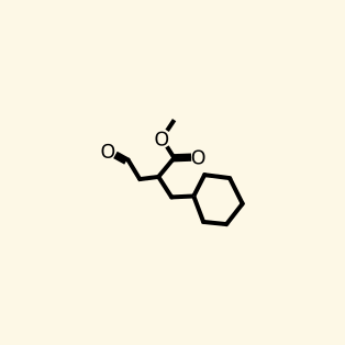 COC(=O)C(CC=O)CC1CCCCC1